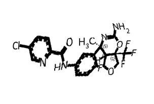 C[C@]1(c2cc(NC(=O)c3ccc(Cl)cn3)ccc2F)N=C(N)O[C@]2(C(F)(F)F)COC[C@H]12